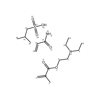 C=C(C)C(=O)OCCN(CC)CC.C=CC(N)=O.CC(C)CS(=O)(=O)O